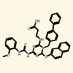 COc1ccccc1NC(=O)NC1=NC(Oc2ccc3ccccc3c2)N(Cc2ccc(-c3ccccc3)cc2)C(NCCC(=O)O)=N1